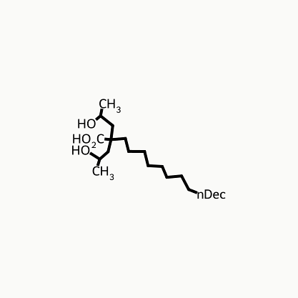 CCCCCCCCCCCCCCCCCCC(CC(C)O)(CC(C)O)C(=O)O